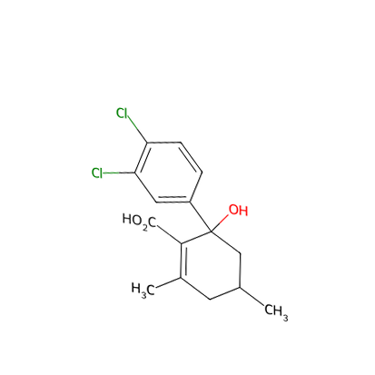 CC1=C(C(=O)O)C(O)(c2ccc(Cl)c(Cl)c2)CC(C)C1